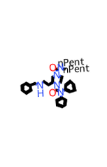 CCCCCN(CCCCC)C(=O)N1CCN(C(=O)N(c2ccccc2)c2ccccc2)C(CCNCc2ccccc2)C1